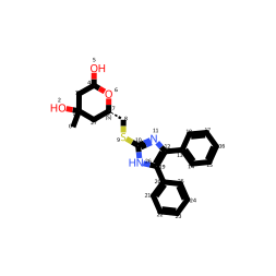 CC1(O)CC(O)O[C@H](CSc2nc(-c3ccccc3)c(-c3ccccc3)[nH]2)C1